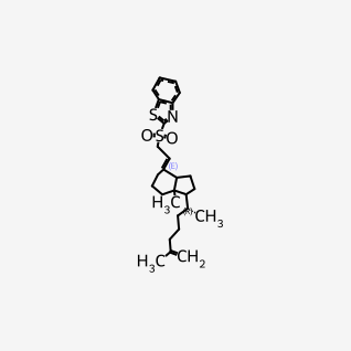 C=C(C)CCC[C@@H](C)C1CCC2/C(=C/CS(=O)(=O)c3nc4ccccc4s3)CCCC21C